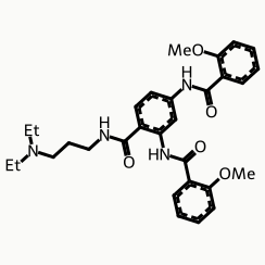 CCN(CC)CCCNC(=O)c1ccc(NC(=O)c2ccccc2OC)cc1NC(=O)c1ccccc1OC